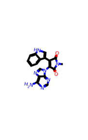 CN1C(=O)C(c2c[nH]c3ccccc23)=C(n2cnc3c(N)ncnc32)C1=O